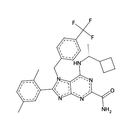 Cc1ccc(C)c(-c2nc3nc(C(N)=O)nc(N[C@H](C)C4CCC4)c3n2Cc2ccc(C(F)(F)F)cc2)c1